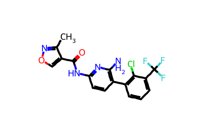 Cc1nocc1C(=O)Nc1ccc(-c2cccc(C(F)(F)F)c2Cl)c(N)n1